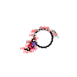 C[C@@H]1[C@H](O)[C@@H](C)/C=C/C=C/C=C/C=C/C=C/C=C/C=C/[C@H](O[C@@H]2O[C@H](C)[C@@H](O)[C@H](N)[C@@H]2O)C[C@@H]2O[C@](O)(C[C@@H](O)C[C@@H](O)[C@H](O)CC[C@@H](O)C[C@@H](O)CC(=O)O[C@H]1C)C[C@H](O)[C@H]2NC(=O)NO[C@@H]1OC(CO)[C@@H](O)C(O)C1O